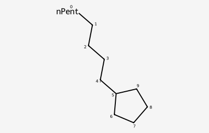 [CH2]CCCCCCC[CH]C1CCCC1